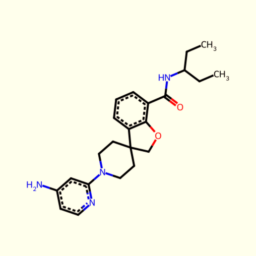 CCC(CC)NC(=O)c1cccc2c1OCC21CCN(c2cc(N)ccn2)CC1